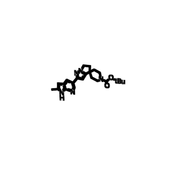 Cc1cc2cc(-c3cc4n(n3)CCC43CCN(C(=O)OC(C)(C)C)CC3)cnc2[nH]1